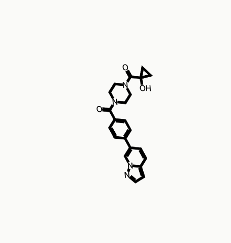 O=C(c1ccc(-c2ccc3ccnn3c2)cc1)N1CCN(C(=O)C2(O)CC2)CC1